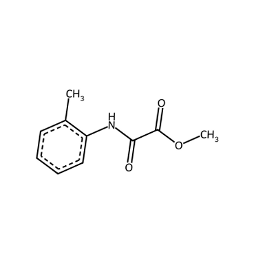 COC(=O)C(=O)Nc1ccccc1C